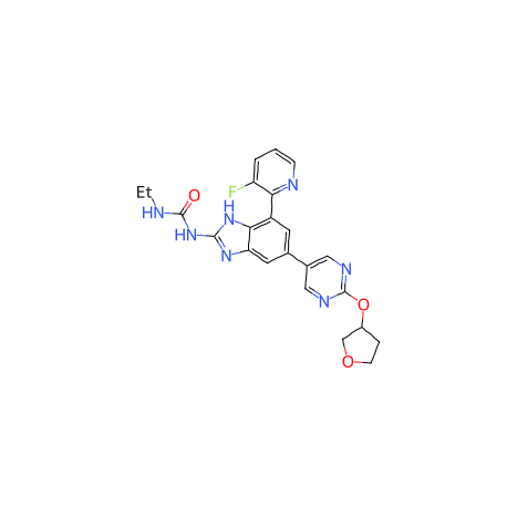 CCNC(=O)Nc1nc2cc(-c3cnc(OC4CCOC4)nc3)cc(-c3ncccc3F)c2[nH]1